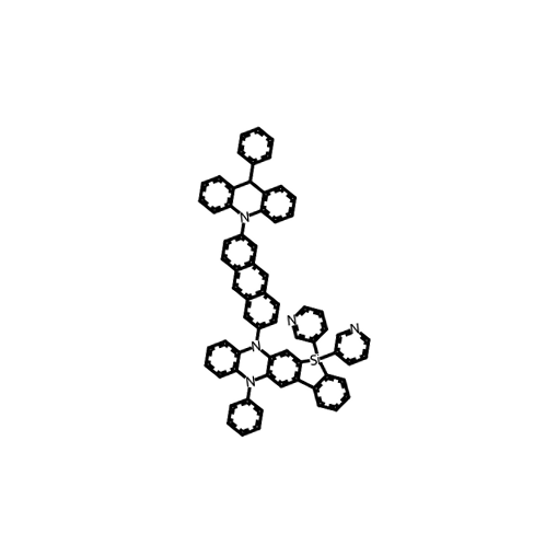 c1ccc(C2c3ccccc3N(c3ccc4cc5cc(N6c7ccccc7N(c7ccccc7)c7cc8c(cc76)[Si](c6cccnc6)(c6cccnc6)c6ccccc6-8)ccc5cc4c3)c3ccccc32)cc1